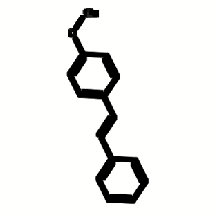 CC(C)(C)Oc1ccc(C=Cc2ccccc2)cc1